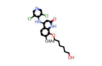 COc1ccc2c(Nc3c(Cl)cncc3Cl)cc(=O)[nH]c2c1OCCCCCCO